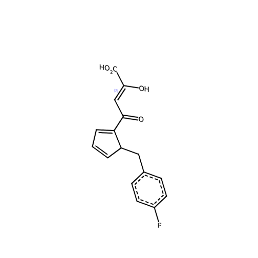 O=C(/C=C(\O)C(=O)O)C1=CC=CC1Cc1ccc(F)cc1